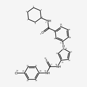 O=C(NC1CCCCC1)c1cc([SH]2C=CC(NC(=S)Nc3ccc(Cl)cc3)=C2)ccn1